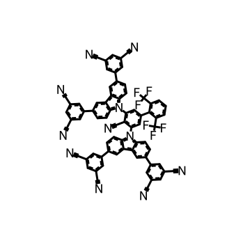 N#Cc1cc(C#N)cc(-c2ccc3c(c2)c2cc(-c4cc(C#N)cc(C#N)c4)ccc2n3-c2cc(-c3c(C(F)(F)F)cccc3C(F)(F)F)cc(-n3c4ccc(-c5cc(C#N)cc(C#N)c5)cc4c4cc(-c5cc(C#N)cc(C#N)c5)ccc43)c2C#N)c1